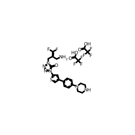 NCC(Cn1nnn(-c2cc(-c3ccc(N4CCNCC4)cc3)cs2)c1=O)=C(F)F.O=C(O)C(F)(F)F.O=C(O)C(F)(F)F